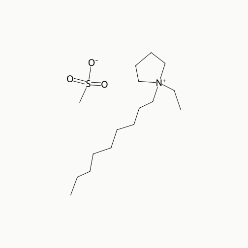 CCCCCCCCC[N+]1(CC)CCCC1.CS(=O)(=O)[O-]